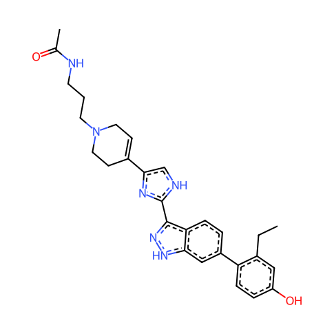 CCc1cc(O)ccc1-c1ccc2c(-c3nc(C4=CCN(CCCNC(C)=O)CC4)c[nH]3)n[nH]c2c1